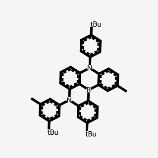 Cc1cc(N2c3cc(C(C)(C)C)ccc3B3c4cc(C)ccc4N(c4ccc(C(C)(C)C)cc4)c4cccc2c43)cc(C(C)(C)C)c1